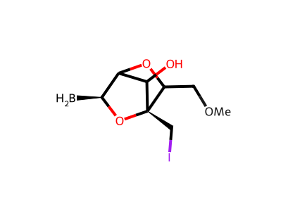 B[C@@H]1O[C@@]2(CI)C(COC)OC1C2O